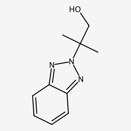 CC(C)(CO)n1nc2ccccc2n1